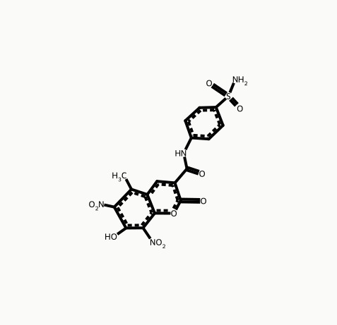 Cc1c([N+](=O)[O-])c(O)c([N+](=O)[O-])c2oc(=O)c(C(=O)Nc3ccc(S(N)(=O)=O)cc3)cc12